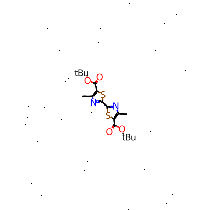 Cc1nc(-c2nc(C)c(C(=O)OC(C)(C)C)s2)sc1C(=O)OC(C)(C)C